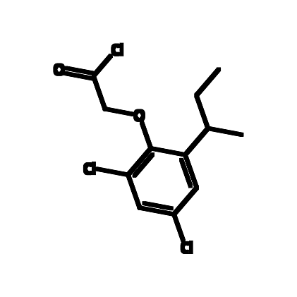 CCC(C)c1cc(Cl)cc(Cl)c1OCC(=O)Cl